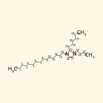 CCCCCCCCCCCCCCCN1C=CN(CCCC)C1CCCCCC